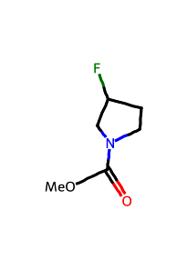 COC(=O)N1CCC(F)C1